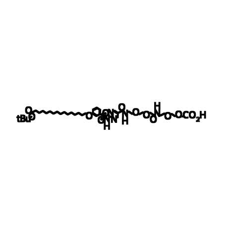 CC(C)(C)OC(=O)CCCCCCCCCCCCCCCOc1cccc(S(=O)(=O)Nc2ncc(C(=O)NCCOCCOCC(=O)NCCOCCOCC(=O)O)cn2)c1